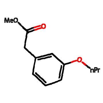 [CH2]CCOc1cccc(CC(=O)OC)c1